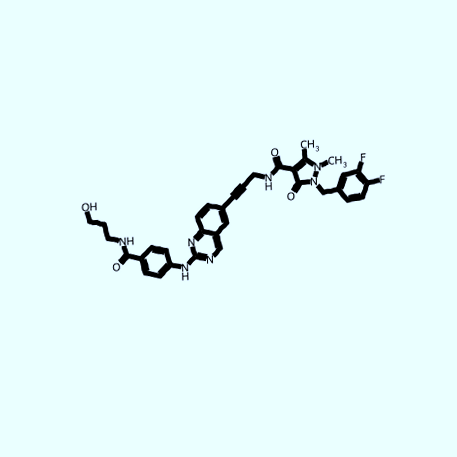 Cc1c(C(=O)NCC#Cc2ccc3nc(Nc4ccc(C(=O)NCCCO)cc4)ncc3c2)c(=O)n(Cc2ccc(F)c(F)c2)n1C